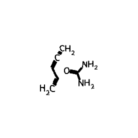 C=C=CC=C.NC(N)=O